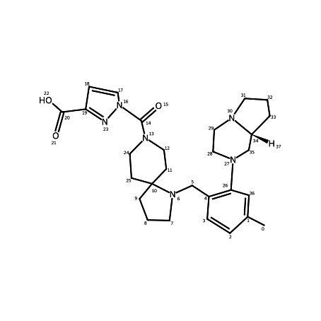 Cc1ccc(CN2CCCC23CCN(C(=O)n2ccc(C(=O)O)n2)CC3)c(N2CCN3CCC[C@@H]3C2)c1